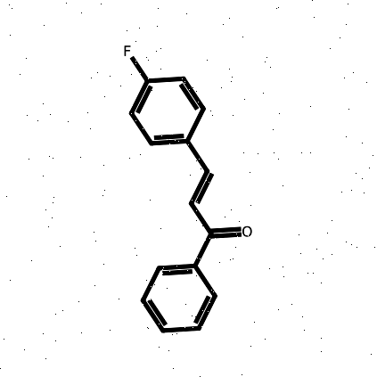 O=C(C=Cc1ccc(F)cc1)c1ccccc1